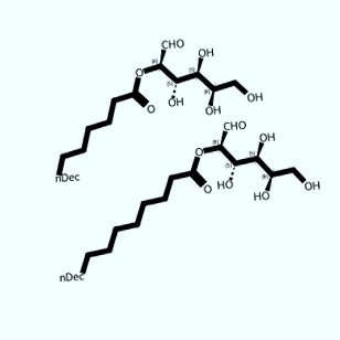 CCCCCCCCCCCCCCCC(=O)O[C@@H](C=O)[C@@H](O)[C@@H](O)[C@H](O)CO.CCCCCCCCCCCCCCCCCC(=O)O[C@@H](C=O)[C@@H](O)[C@@H](O)[C@H](O)CO